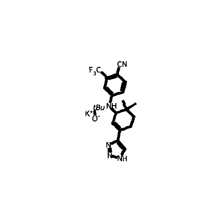 CC(C)(C)[O-].CC1(C)CCC(c2c[nH]nn2)=CC1Nc1ccc(C#N)c(C(F)(F)F)c1.[K+]